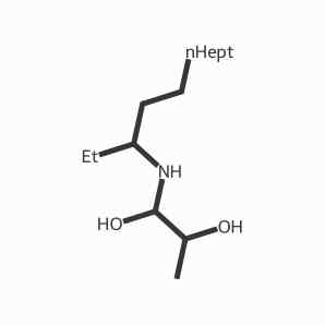 CCCCCCCCCC(CC)NC(O)C(C)O